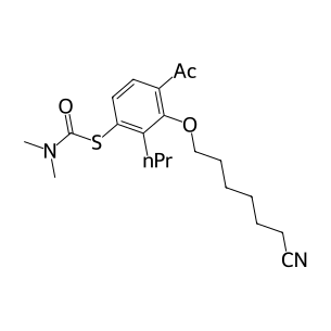 CCCc1c(SC(=O)N(C)C)ccc(C(C)=O)c1OCCCCCCC#N